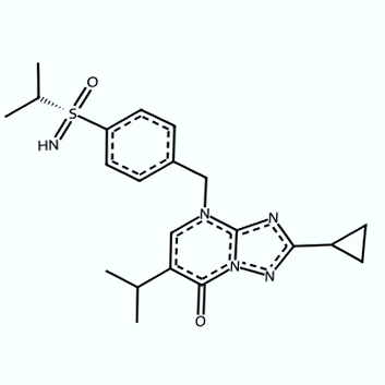 CC(C)c1cn(Cc2ccc([S@@](=N)(=O)C(C)C)cc2)c2nc(C3CC3)nn2c1=O